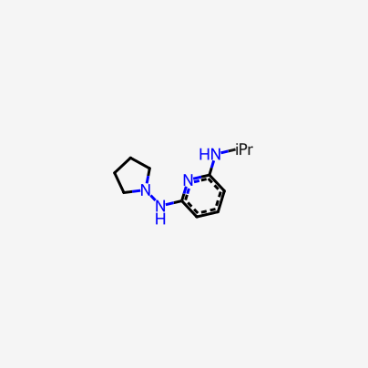 CC(C)Nc1cccc(NN2CCCC2)n1